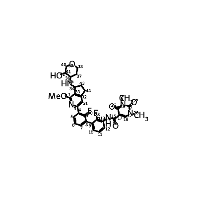 COc1nc(-c2cccc(-c3cccc(NC(=O)c4cn(C)c(=O)n(C)c4=O)c3F)c2F)cc2c1C(NC1CCOCC1O)CC2